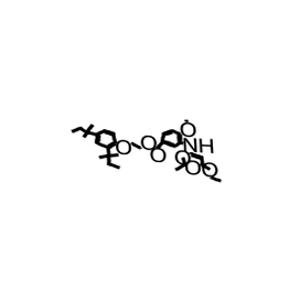 CCOC(=O)C=C(Nc1cc(C(=O)OCCOc2ccc(C(C)(C)CC)cc2C(C)(C)CC)ccc1OC)OCC